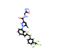 Cc1cc(C(=O)NCC(N)=O)nn1-c1cccc2cc(Cc3cccc(C(F)(F)F)c3)sc12